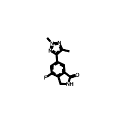 Cc1nn(C)nc1-c1cc(F)c2c(c1)C(=O)NC2